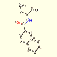 COCC(NC(=O)c1ccc2ccccc2c1)C(=O)O